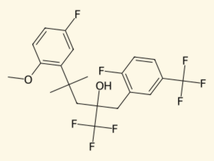 COc1ccc(F)cc1C(C)(C)CC(O)(Cc1cc(C(F)(F)F)ccc1F)C(F)(F)F